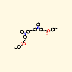 C=Cc1ccc(COC(=O)CCc2ccc(N(c3ccccc3)c3ccc(CCc4ccc(N(c5ccccc5)c5ccc(CCC(=O)OCc6ccc(C=C)cc6)cc5)cc4)cc3)cc2)cc1